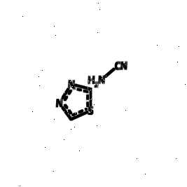 N#CN.c1nncs1